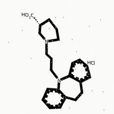 Cl.O=C(O)[C@@H]1CCCN(CCCN2c3ccccc3CCc3ccccc32)C1